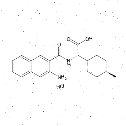 C[C@H]1CC[C@H]([C@H](NC(=O)c2cc3ccccc3cc2N)C(=O)O)CC1.Cl